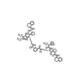 CN[C@@H](C)C(=O)N[C@@H](CCCCNC(=O)c1cccc(C(=O)NCCCC[C@H](NC(=O)[C@H](C)NC)C(=O)N2CCC[C@H]2C(=O)N[C@@H]2CCCc3ccccc32)c1)C(=O)N1CCC[C@H]1C(=O)N[C@@H]1CCCc2ccccc21